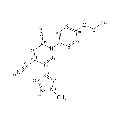 Cn1cc(-c2cn(-c3ccc(OCF)cc3)c(=O)cc2C#N)cn1